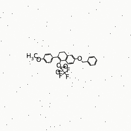 COc1ccc(C2=C(OS(=O)(=O)C(F)(F)F)c3ccc(OCc4ccccc4)cc3CC2)cc1